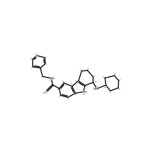 O=C(NCc1ccncc1)c1ccc2[nH]c3c(c2c1)CCCC3NC1CCCCC1